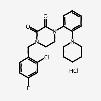 Cl.O=C1C(=O)N(c2ccccc2N2CCCCC2)CCN1Cc1ccc(F)cc1Cl